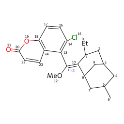 CCC1CC2CC(C)CC(C2)/C1=C(\OC)c1c(Cl)ccc2oc(=O)ccc12